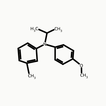 COc1ccc(N(c2cccc(C)c2)C(C)C)cc1